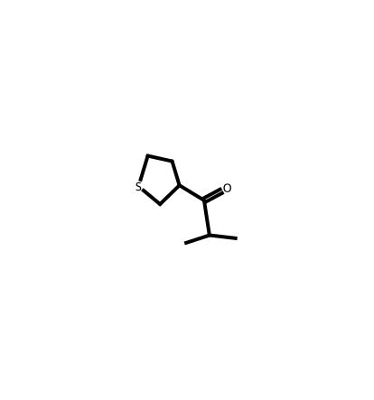 CC(C)C(=O)C1CCSC1